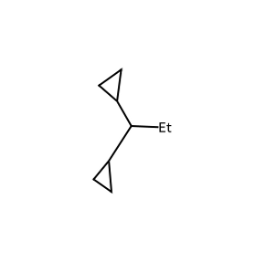 CCC(C1CC1)C1CC1